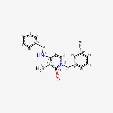 Bc1c(NCc2ccccc2)ccn(Cc2cccc(F)c2)c1=O